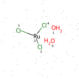 O.O.[Cl][Ru]([Cl])[Cl]